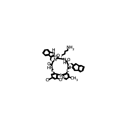 Cc1cnc2c(c1)CN[C@@H](Cc1ccc3ccccc3c1)C(=O)N[C@@H](CCCCN)C(=O)N[C@@H](Cc1c[nH]c3ccccc13)C(=O)NCc1cc(Cl)cc(Cl)c1S2